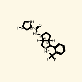 O=C(N[C@H]1CC[C@@H]2C(c3ccccc3C(F)(F)F)NC[C@H]12)[C@@H]1C[C@@H](F)CN1